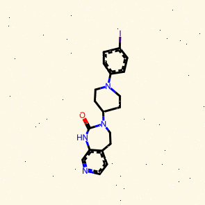 O=C1Nc2cnccc2CCN1C1CCN(c2ccc(I)cc2)CC1